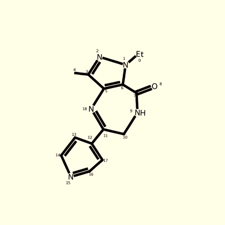 CCn1nc(C)c2c1C(=O)NCC(c1ccncc1)=N2